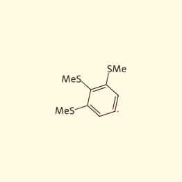 CSc1c[c]cc(SC)c1SC